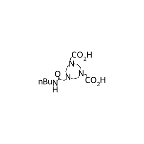 CCCCNC(=O)CN1CCN(CC(=O)O)CCN(CC(=O)O)CC1